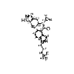 O=C(c1cccc2c1cnn2CCCC(F)(F)F)N(C1CC1)C1CCc2[nH]ncc2C1